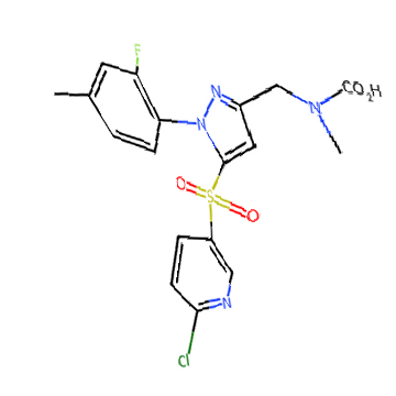 Cc1ccc(-n2nc(CN(C)C(=O)O)cc2S(=O)(=O)c2ccc(Cl)nc2)c(F)c1